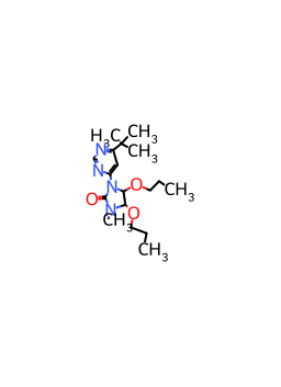 CCCOC1C(OCCC)N(c2cc(C(C)(C)C)ncn2)C(=O)N1C